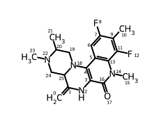 C=C1Nc2c(c3cc(F)c(C)c(F)c3n(C)c2=O)N2CC(C)N(C)CC12